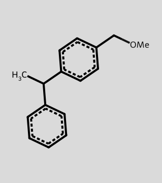 COCc1ccc(C(C)c2ccccc2)cc1